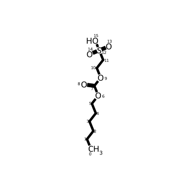 CCCCCCOC(=O)OCCS(=O)(=O)O